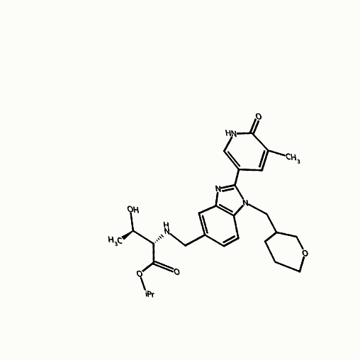 Cc1cc(-c2nc3cc(CN[C@H](C(=O)OC(C)C)[C@@H](C)O)ccc3n2CC2CCCOC2)c[nH]c1=O